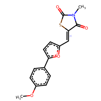 COc1ccc(-c2ccc(/C=C3\SC(=O)N(C)C3=O)o2)cc1